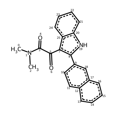 CN(C)C(=O)C(=O)c1c(-c2ccc3ccccc3c2)[nH]c2ccccc12